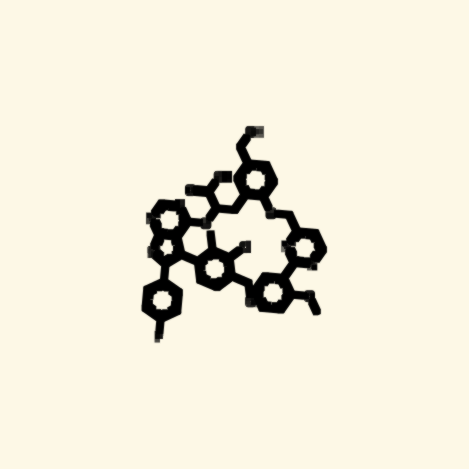 COc1ccccc1-c1nccc(COc2ccc(CO)cc2CC(Oc2ncnc3sc(-c4ccc(F)cc4)c(-c4ccc(CO)c(Cl)c4C)c23)C(=O)O)n1